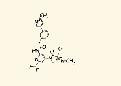 C=NC[C@@]1(C2=CC2)CCN(c2cc(NC(=O)Cc3cccc(-c4cnn(C)c4)c3)nc(C(F)F)c2)C1=O